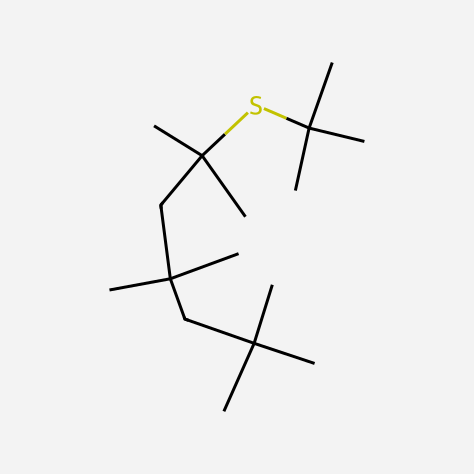 CC(C)(C)CC(C)(C)CC(C)(C)SC(C)(C)C